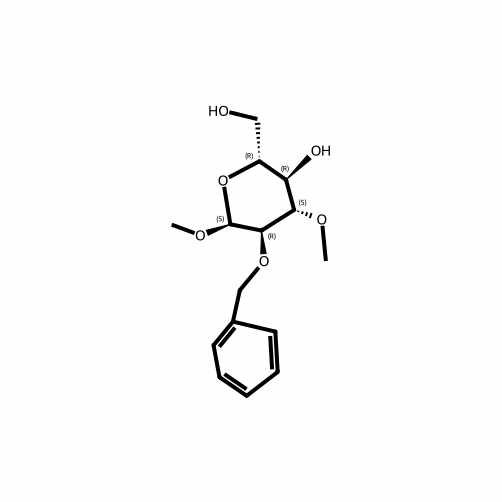 CO[C@H]1O[C@H](CO)[C@@H](O)[C@H](OC)[C@H]1OCc1ccccc1